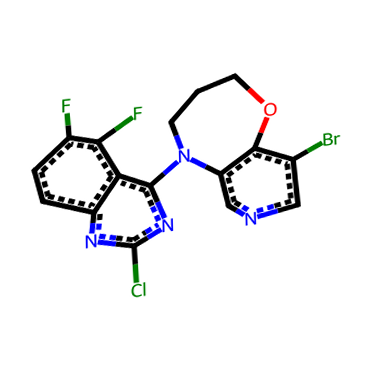 Fc1ccc2nc(Cl)nc(N3CCCOc4c(Br)cncc43)c2c1F